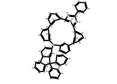 C1=C(N2c3cccc(c3)-c3cccc(c3)-c3nc(-c4ccccc4)nc(n3)-c3cccc(c3)-c3cccc2c3)C=C2C(C1)c1ccccc1C2(c1ccccc1)c1ccccc1